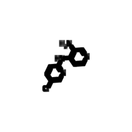 Nc1cnccc1Nc1ccc(Cl)cn1